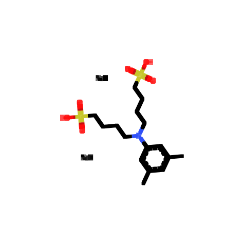 Cc1cc(C)cc(N(CCCCS(=O)(=O)O)CCCCS(=O)(=O)O)c1.[NaH].[NaH]